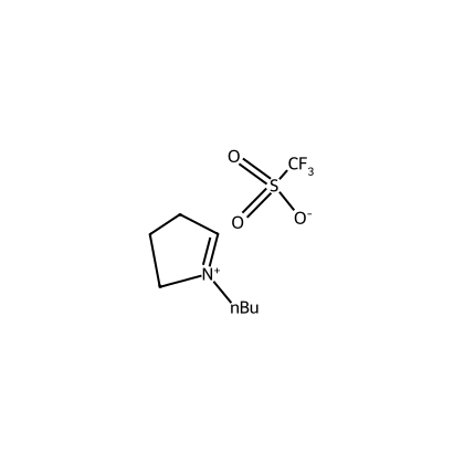 CCCC[N+]1=CCCC1.O=S(=O)([O-])C(F)(F)F